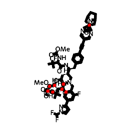 COC(=O)NC(C(=O)N[C@@H](Cc1ccc(C#Cc2cnc(N3CC4CCC(C3)N4C3COC3)nc2)cc1)[C@@H](CC(=O)OCOP(=O)(O)O)CN(Cc1c(F)cc(-c2ccn(C(F)F)n2)cc1F)NC(=O)[C@@H](NC(=O)OC)C(C)(C)C(F)(F)F)C(C)(C)C(F)(F)F